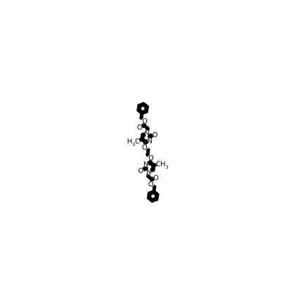 Cc1cn(CC(=O)OCc2ccccc2)c(=O)nc1OCCOc1nc(=O)n(CC(=O)OCc2ccccc2)cc1C